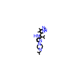 Cc1c(-c2[nH]c3ccc(N4CCCN(CC(C)C)CCC4)nc3c2C(C)C)cn2ncnc2c1C